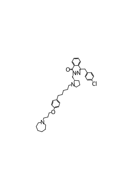 O=c1c2ccccc2c(Cc2ccc(Cl)cc2)nn1C[C@H]1CCCN1CCCCCc1ccc(OCCCN2CCCCCC2)cc1